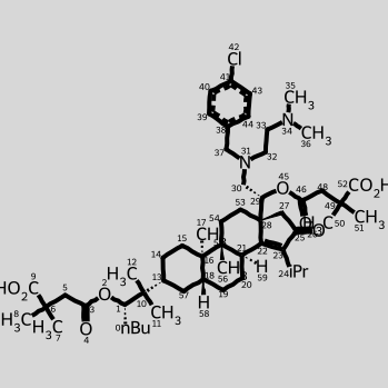 CCCC[C@H](OC(=O)CC(C)(C)C(=O)O)C(C)(C)[C@@H]1CC[C@]2(C)[C@H](CC[C@@H]3C4=C(C(C)C)C(=O)C[C@]4([C@H](CN(CCN(C)C)Cc4ccc(Cl)cc4)OC(=O)CC(C)(C)C(=O)O)CC[C@]32C)C1